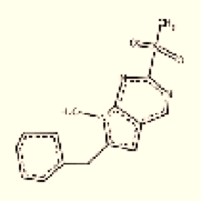 Cn1c(Cc2ccccc2)cc2cnc(S(C)(=O)=O)nc21